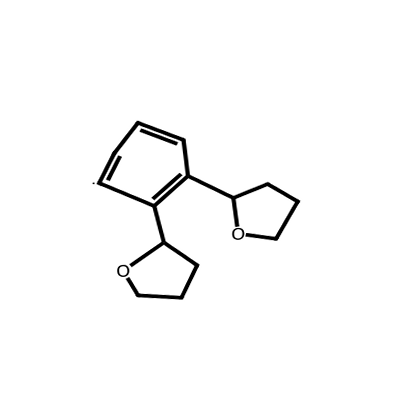 [c]1cccc(C2CCCO2)c1C1CCCO1